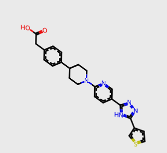 O=C(O)Cc1ccc(C2CCN(c3ccc(-c4nnc(-c5ccsc5)[nH]4)cn3)CC2)cc1